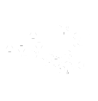 C[C@H](N)C(=O)NC(C)(C)C(=O)N[C@@H](CCC(=O)O)C(=O)NCC(=O)N[C@H](C(=O)N[C@@H](Cc1ccccc1)C(=O)N[C@](F)(C(=O)N[C@@H](CO)C(=O)N[C@@H](CC(=O)O)C(=O)N[C@@H](Cc1ccc(-c2ccccc2)cc1)C(=O)N[C@@H](Cc1ccc(-c2ccccc2)cc1)C(=O)O)[C@@H](C)O)[C@@H](C)O